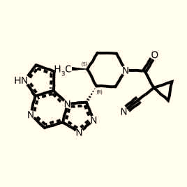 C[C@H]1CCN(C(=O)C2(C#N)CC2)C[C@@H]1c1nnc2cnc3[nH]ccc3n12